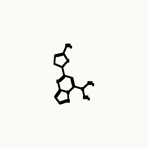 CC1=CCC(c2cc(N(C)C)n3nccc3n2)S1